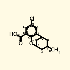 CC1CC2CC(C1)c1cc(Cl)cc(C(=O)O)c1O2